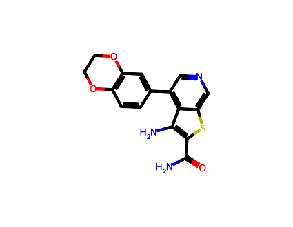 NC(=O)c1sc2cncc(-c3ccc4c(c3)OCCO4)c2c1N